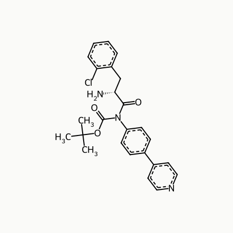 CC(C)(C)OC(=O)N(C(=O)[C@H](N)Cc1ccccc1Cl)c1ccc(-c2ccncc2)cc1